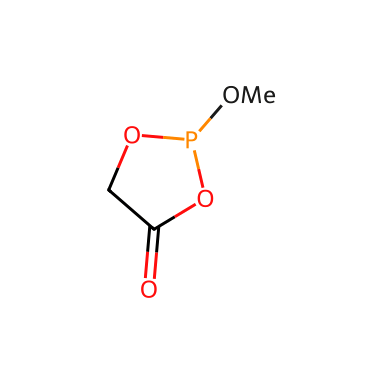 COP1OCC(=O)O1